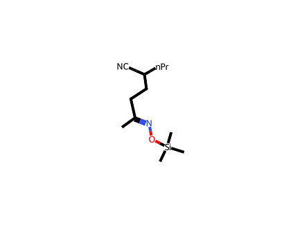 CCCC(C#N)CCC(C)=NO[Si](C)(C)C